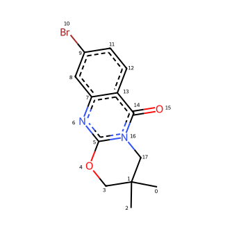 CC1(C)COc2nc3cc(Br)ccc3c(=O)n2C1